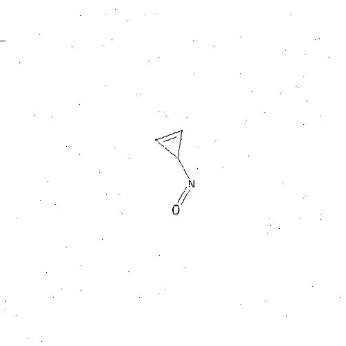 O=NC1C=C1